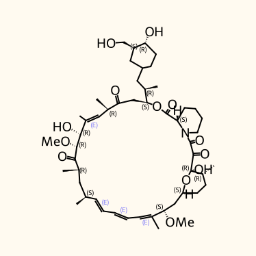 CO[C@H]1C[C@@H]2CC[C@@H](C)[C@@](O)(O2)C(=O)C(=O)N2CCCC[C@H]2C(=O)O[C@H]([C@H](C)CC2CC[C@@H](O)[C@H](CO)C2)CC(=O)[C@H](C)/C=C(\C)[C@@H](O)[C@@H](OC)C(=O)[C@H](C)C[C@H](C)/C=C/C=C/C=C/1C